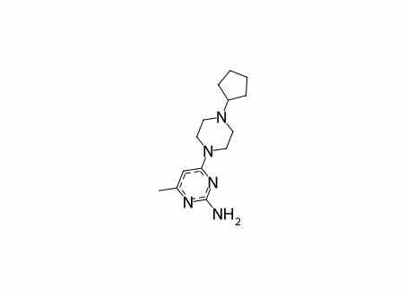 Cc1cc(N2CCN(C3CCCC3)CC2)nc(N)n1